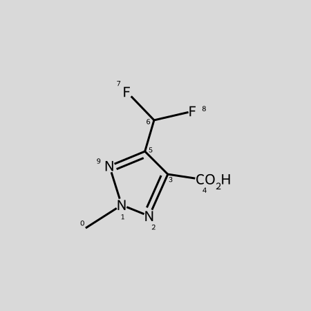 Cn1nc(C(=O)O)c(C(F)F)n1